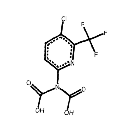 O=C(O)N(C(=O)O)c1ccc(Cl)c(C(F)(F)F)n1